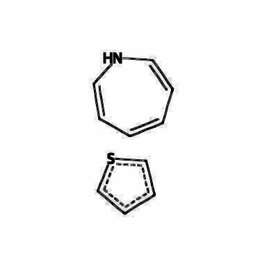 C1=CC=CNC=C1.c1ccsc1